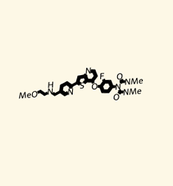 CNC(=O)N(C(=O)NC)c1ccc(Oc2ccnc3cc(-c4ccc(CNCCOC)cn4)sc23)c(F)c1